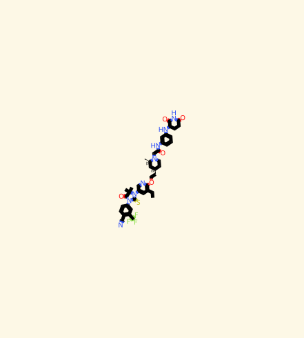 CCc1cc(N2C(=S)N(c3ccc(C#N)c(C(F)(F)F)c3)C(=O)C2(C)C)cnc1OCC[C@H]1CCN(CC(=O)Nc2cccc(NC3CCC(=O)NC3=O)c2)[C@@H](C)C1